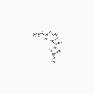 O=[Si]([O-])[O-].O=[Si]([O-])[O-].O=[Si]([O-])[O-].[Cr+3].[Cr+3].[Fe+3].[Fe+3].[O-2].[O-2].[O-2]